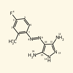 Cc1cc(F)ccc1N=Nc1c(N)n[nH]c1N